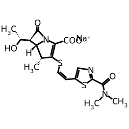 C[C@@H](O)[C@H]1C(=O)N2C(C(=O)[O-])=C(S/C=C\c3cnc(C(=O)N(C)C)s3)[C@H](C)[C@H]12.[Na+]